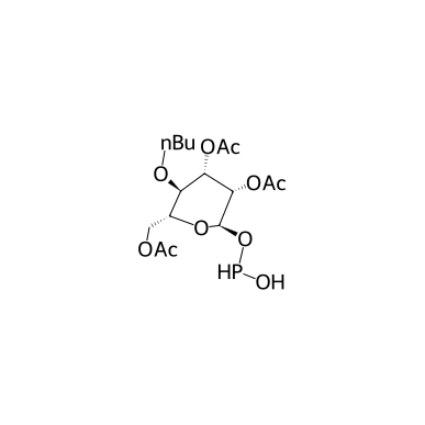 CCCCO[C@H]1[C@H](OC(C)=O)[C@H](OC(C)=O)[C@@H](OPO)O[C@@H]1COC(C)=O